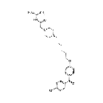 CC(C)NC(=O)CN1CCN(CCCCCCOc2ccc(C(=O)c3ccc(Cl)cc3)cc2)CC1